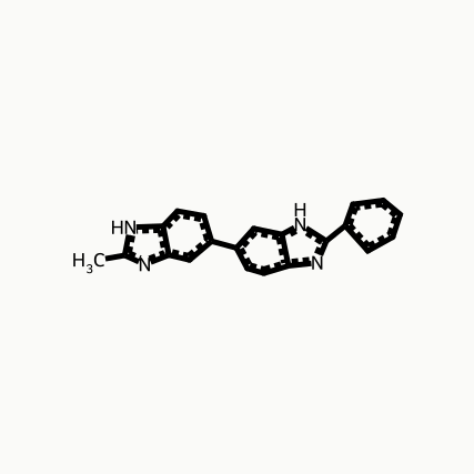 Cc1nc2cc(-c3ccc4nc(-c5ccccc5)[nH]c4c3)ccc2[nH]1